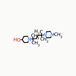 CN1CCN(C(C)(C)CCC(C)(C)N2CCC(O)CC2)CC1